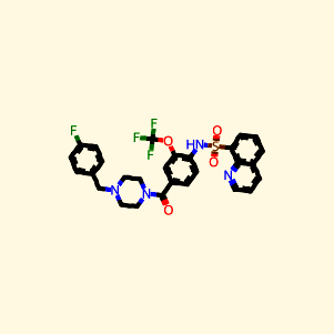 O=C(c1ccc(NS(=O)(=O)c2cccc3cccnc23)c(OC(F)(F)F)c1)N1CCN(Cc2ccc(F)cc2)CC1